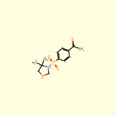 CC(=O)c1ccc(S(=O)(=O)N2COCC2(C)C)cc1